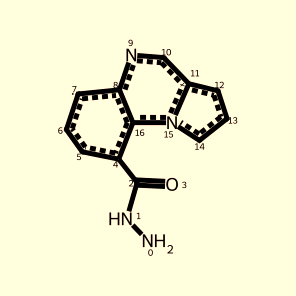 NNC(=O)c1cc[c]c2ncc3cccn3c12